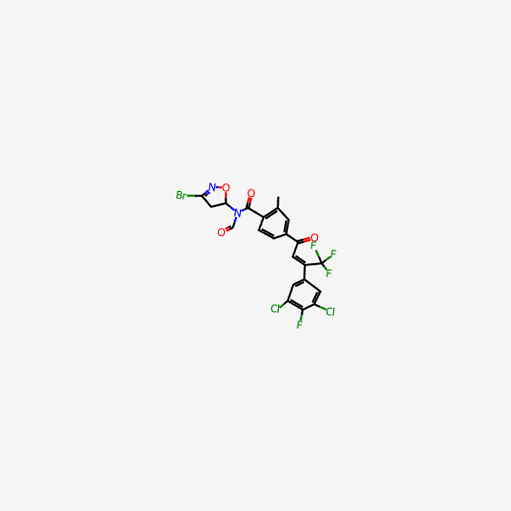 Cc1cc(C(=O)C=C(c2cc(Cl)c(F)c(Cl)c2)C(F)(F)F)ccc1C(=O)N(C=O)C1CC(Br)=NO1